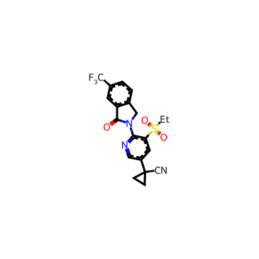 CCS(=O)(=O)c1cc(C2(C#N)CC2)cnc1N1Cc2ccc(C(F)(F)F)cc2C1=O